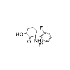 NC1(c2c(F)cccc2F)CCCC(O)C1=O